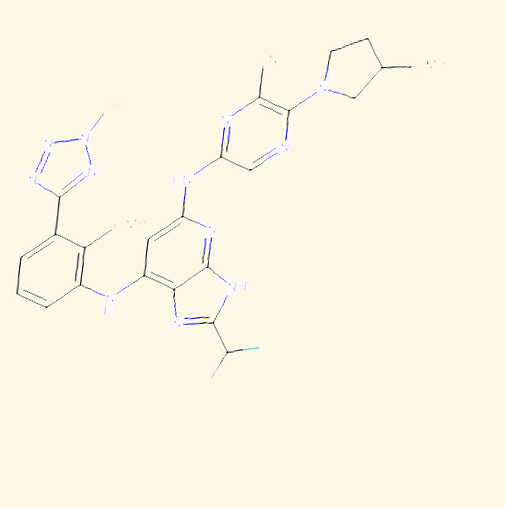 COc1c(Nc2cc(Nc3cnc(N4CCC(OC)C4)c(C#N)n3)nc3[nH]c(C(F)F)nc23)cccc1-c1nnn(C)n1